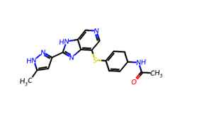 CC(=O)NC1C=CC(Sc2cncc3[nH]c(-c4cc(C)[nH]n4)nc23)=CC1